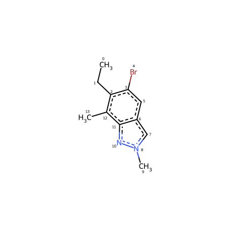 CCc1c(Br)cc2cn(C)nc2c1C